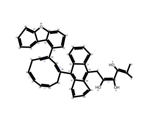 CC(C)=C(O)/C(O)=C(/O)Cc1c2ccccc2c(/C2=C/C(c3cccc4oc5ccccc5c34)=C\C/C=C\C=C/C2)c2ccccc12